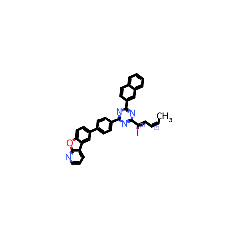 C/C=C\C=C(/I)c1nc(-c2ccc(-c3ccc4oc5ncccc5c4c3)cc2)nc(-c2ccc3ccccc3c2)n1